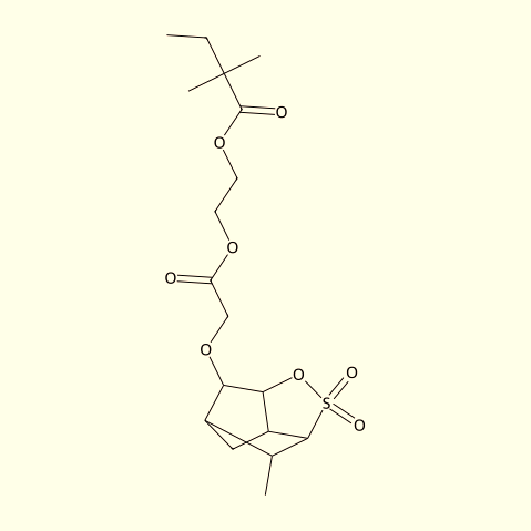 CCC(C)(C)C(=O)OCCOC(=O)COC1C2CC3C1OS(=O)(=O)C3C2C